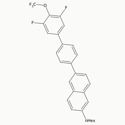 CCCCCCc1ccc2cc(-c3ccc(-c4cc(F)c(OC(F)(F)F)c(F)c4)cc3)ccc2c1